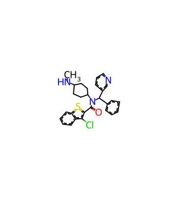 CNC1CCC(N(C(=O)c2sc3ccccc3c2Cl)C(c2ccccc2)c2cccnc2)CC1